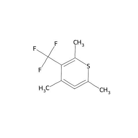 CC1=C=C(C)C(C(F)(F)F)=C(C)S1